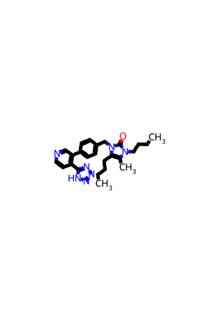 CCCCc1c(C)n(CCCC)c(=O)n1Cc1ccc(-c2cnccc2-c2nnn[nH]2)cc1